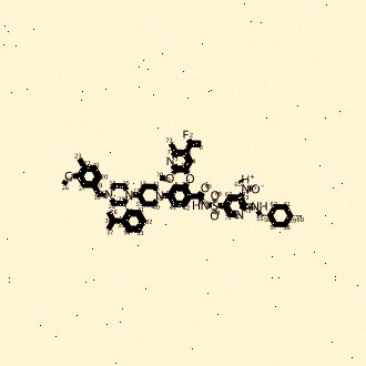 C=C(F)c1cc(Oc2cc(N3CCC(N4CCN(Cc5ccc(C)c(OC)c5)C[C@H]4c4ccccc4C(C)C)CC3)ccc2C(=O)NS(=O)(=O)c2cnc(NC[C@H]3CC[C@@H](C)CC3)c([NH+](C)[O-])c2)c(OC)nc1C